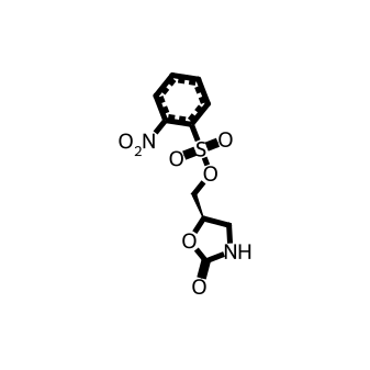 O=C1NC[C@H](COS(=O)(=O)c2ccccc2[N+](=O)[O-])O1